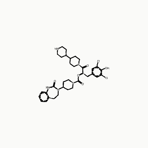 O=C(O[C@H](Cc1cc(Cl)c(O)c(Cl)c1)C(=O)N1CCC(C2CCNCC2)CC1)N1CCC(N2CCc3ccccc3NC2=O)CC1